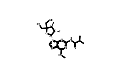 CNc1nc(NC(=O)C(C)C)nc2c1ncn2[C@@H]1OC(CO)(CO)[C@@H](C)[C@@H]1F